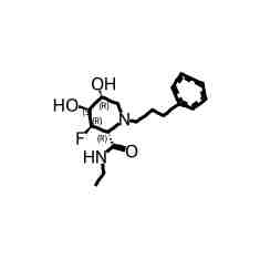 CCNC(=O)[C@@H]1[C@@H](F)[C@@H](O)[C@H](O)CN1CCCc1ccccc1